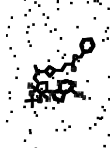 CN(C[C@H]1C[C@@H](n2ccc3c(N)ncnc32)[C@@H]2OC(C)(C)O[C@H]12)C1CC(CCC(=O)OCc2ccccc2)C1